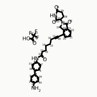 Nc1ccc(-c2ccc(NC(=O)CCCCCC#Cc3cccc4c3CN(C3CCC(=O)NC3=O)C4=O)cc2)cc1.O=C(O)C(F)(F)F